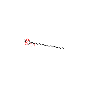 CCCCCCCCCCCCCCCCCCC1(O)COC(C)(C)OC1